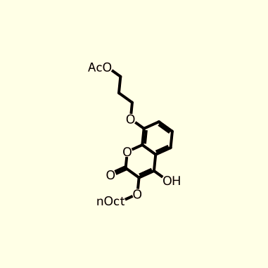 CCCCCCCCOc1c(O)c2cccc(OCCCOC(C)=O)c2oc1=O